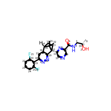 C[C@H](O)CNC(=O)c1cncc([C@]23CC[C@@H](c4cc(-c5c(F)cccc5F)nnc42)C3(C)C)n1